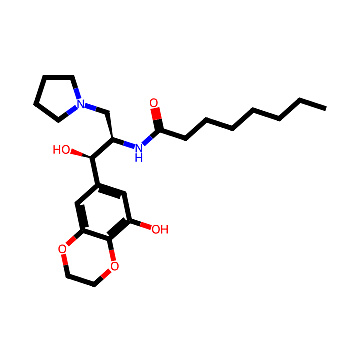 CCCCCCCC(=O)N[C@H](CN1CCCC1)[C@H](O)c1cc(O)c2c(c1)OCCO2